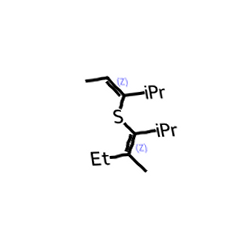 C/C=C(\S/C(=C(/C)CC)C(C)C)C(C)C